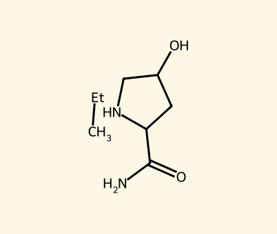 CCC.NC(=O)C1CC(O)CN1